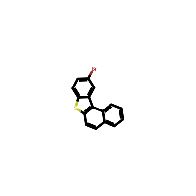 Brc1ccc2sc3ccc4ccccc4c3c2c1